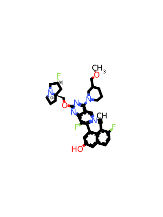 C#Cc1c(F)ccc2cc(O)cc(-c3ncc4c(N5CCCC(COC)C5)nc(OC[C@@]56CCCN5C[C@H](F)C6)nc4c3F)c12